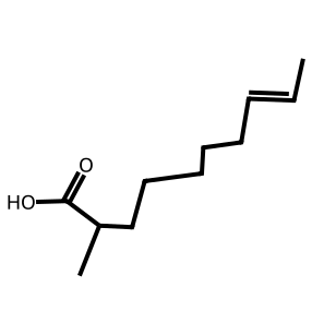 C/C=C/CCCCCC(C)C(=O)O